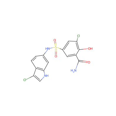 NC(=O)c1cc(S(=O)(=O)Nc2ccc3c(Cl)c[nH]c3c2)cc(Cl)c1O